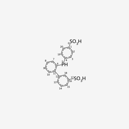 O=S(=O)(O)c1ccc(Pc2ccccc2-c2cccc(S(=O)(=O)O)c2)cc1